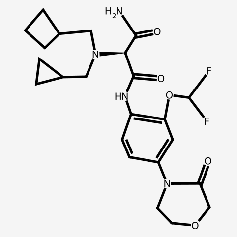 NC(=O)[C@@H](C(=O)Nc1ccc(N2CCOCC2=O)cc1OC(F)F)N(CC1CCC1)CC1CC1